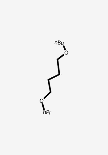 CCCCOC[CH]CCOCCC